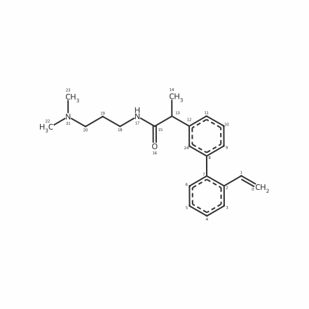 C=Cc1ccccc1-c1cccc(C(C)C(=O)NCCCN(C)C)c1